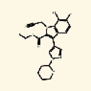 CCOC(=O)c1c(-c2cnn(C3CCCCO3)c2)c2ccc(Cl)c(Cl)c2n1CC#N